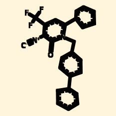 [C-]#[N+]c1c(C(F)(F)F)cc(-c2ccccc2)n(Cc2ccc(-c3ccccc3)cc2)c1=O